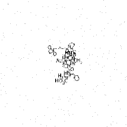 CC[C@H](C)[C@H](NC(=O)[C@H]1CCCCN1C(=O)CCCCCN1C(=O)C=CC1=O)C(=O)N(C)[C@H](C[C@@H](OC(C)=O)c1nc(C(=O)N[C@@H](Cc2ccccc2)C[C@H](C)C(=O)O)cs1)C(C)C